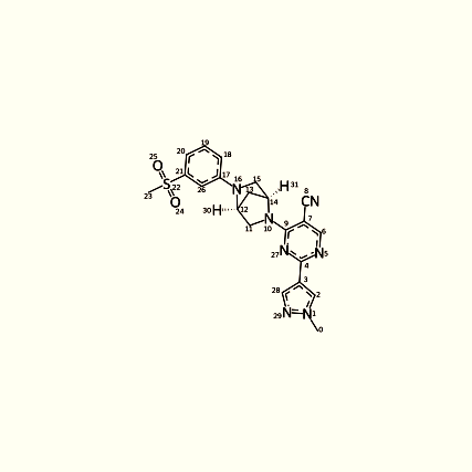 Cn1cc(-c2ncc(C#N)c(N3C[C@@H]4C[C@H]3CN4c3cccc(S(C)(=O)=O)c3)n2)cn1